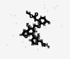 CCOC(=O)Cc1ccc(C)cc1OCc1cc(-c2ccnc(CN)c2F)c2occc2c1F